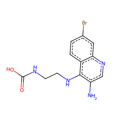 Nc1cnc2cc(Br)ccc2c1NCCNC(=O)O